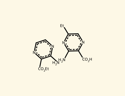 CCOC(=O)c1nccnc1N.CCc1cnc(C(=O)O)c(N)n1